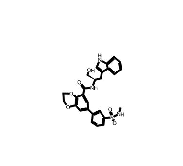 CNS(=O)(=O)c1cccc(-c2cc3c(c(C(=O)N[C@@H](CO)Cc4c[nH]c5ccccc45)c2)OCCO3)c1